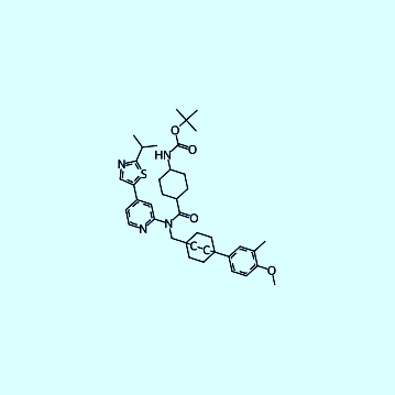 COc1ccc(C23CCC(CN(C(=O)C4CCC(NC(=O)OC(C)(C)C)CC4)c4cc(-c5cnc(C(C)C)s5)ccn4)(CC2)CC3)cc1C